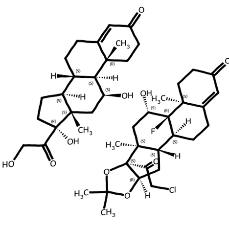 CC1(C)O[C@@H]2C[C@H]3[C@@H]4CCC5=CC(=O)CC[C@]5(C)[C@@]4(F)[C@@H](O)C[C@]3(C)[C@]2(C(=O)CCl)O1.C[C@]12CCC(=O)C=C1CC[C@@H]1[C@@H]2[C@@H](O)C[C@@]2(C)[C@H]1CC[C@]2(O)C(=O)CO